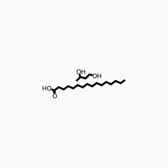 CC(O)CCO.CCCCCCCCCCCCCCCC(=O)O